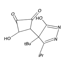 CC(C)C1=NN=C(O)C1(C1C(=O)C(=O)C1O)C(C)(C)C